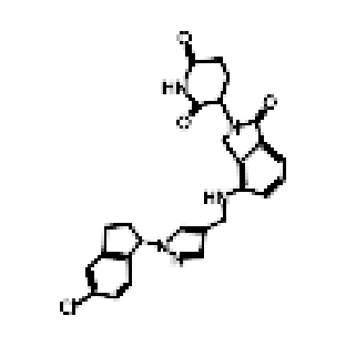 O=C1CCC(N2Cc3c(NCc4cnn([C@@H]5CCc6cc(Cl)ccc65)c4)cccc3C2=O)C(=O)N1